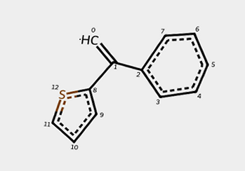 [CH]=C(c1ccccc1)c1cccs1